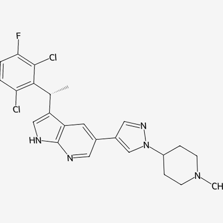 C[C@@H](c1c(Cl)ccc(F)c1Cl)c1c[nH]c2ncc(-c3cnn(C4CCN(C=O)CC4)c3)cc12